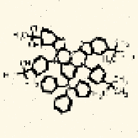 CC(C)(C)c1ccc(N2c3cc([Si](c4ccccc4)(c4ccccc4)c4ccccc4)cc4c3B(c3sc5ccc(C(C)(C)C)cc5c32)c2sc3ccc(C(C)(C)C)cc3c2N4c2ccc(C(C)(C)C)cc2)cc1